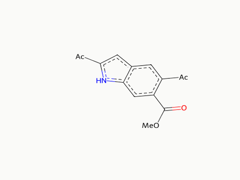 COC(=O)c1cc2[nH]c(C(C)=O)cc2cc1C(C)=O